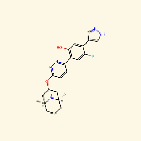 C[C@]12CCC[C@](C)(CC(Oc3ccc(-c4cc(F)c(-c5cn[nH]c5)cc4O)nn3)C1)N2